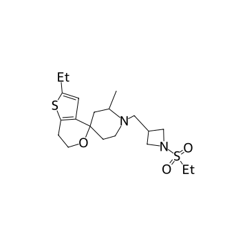 CCc1cc2c(s1)CCOC21CCN(CC2CN(S(=O)(=O)CC)C2)C(C)C1